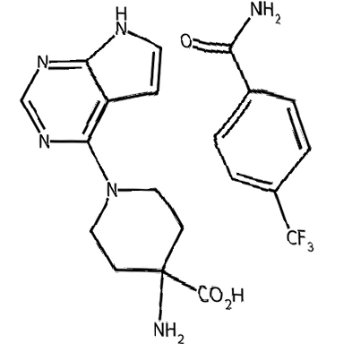 NC(=O)c1ccc(C(F)(F)F)cc1.NC1(C(=O)O)CCN(c2ncnc3[nH]ccc23)CC1